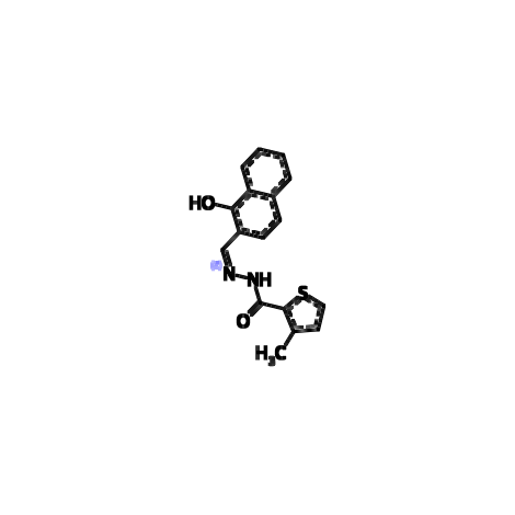 Cc1ccsc1C(=O)N/N=C\c1ccc2ccccc2c1O